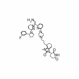 Cn1c2c(n(C3CCC(=O)NC3=O)c1=O)=CCCC=2CCCN1CCN(c2cccc(/C(=C/N)N3CC=CC(N4CCCC4c4cccc(F)c4)=N3)n2)CC1